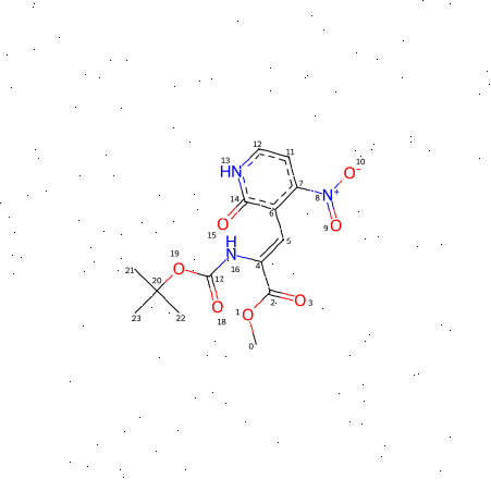 COC(=O)C(=Cc1c([N+](=O)[O-])cc[nH]c1=O)NC(=O)OC(C)(C)C